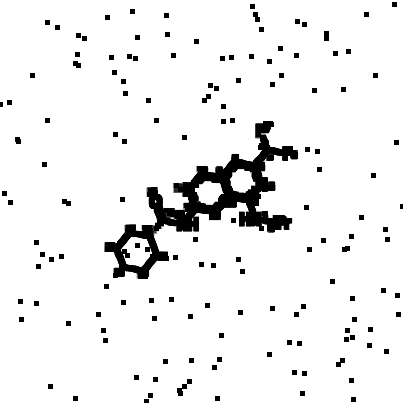 CC(C)Nc1nc(C(F)F)cc2cnc(NC(=O)[C@H]3C[CH]CCC3)cc12